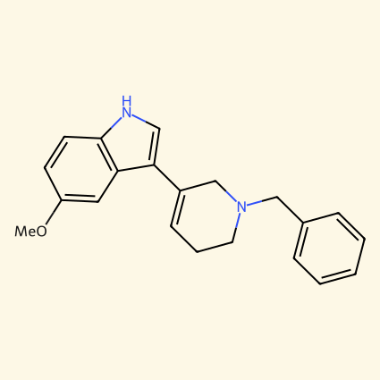 COc1ccc2[nH]cc(C3=CCCN(Cc4ccccc4)C3)c2c1